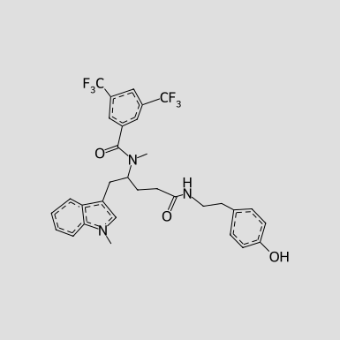 CN(C(=O)c1cc(C(F)(F)F)cc(C(F)(F)F)c1)C(CCC(=O)NCCc1ccc(O)cc1)Cc1cn(C)c2ccccc12